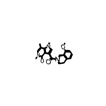 COc1cccc2c1CN(C(=O)c1cn(C)c3c(C)cn(C)c(=O)c13)CC2